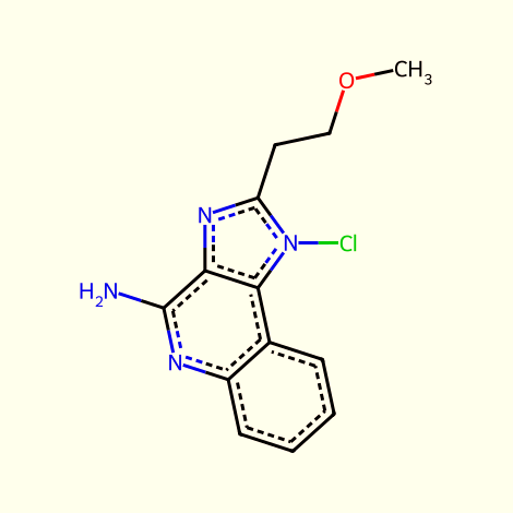 COCCc1nc2c(N)nc3ccccc3c2n1Cl